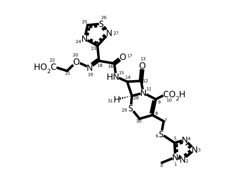 Cn1nnnc1SCC1=C(C(=O)O)N2C(=O)C(NC(=O)C(=NOCC(=O)O)c3ncsn3)[C@@H]2SC1